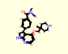 CN(C)C(=O)c1ccc(-c2c[nH]c3nccc(OCC4(C)CCNCC4)c23)cc1